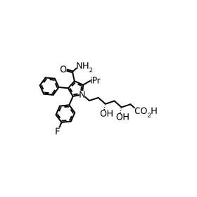 CC(C)c1c(C(N)=O)c(-c2ccccc2)c(-c2ccc(F)cc2)n1CC[C@@H](O)C[C@@H](O)CC(=O)O